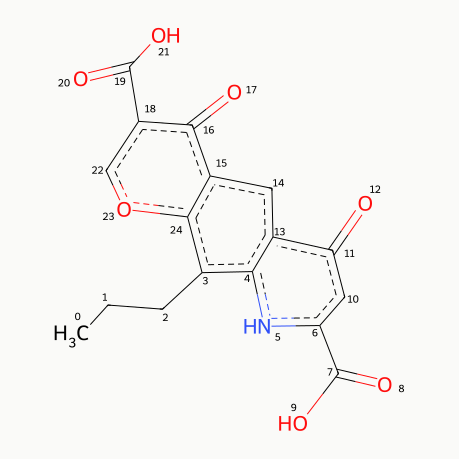 CCCc1c2[nH]c(C(=O)O)cc(=O)c2cc2c(=O)c(C(=O)O)coc12